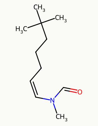 CN(C=O)/C=C\CCCC(C)(C)C